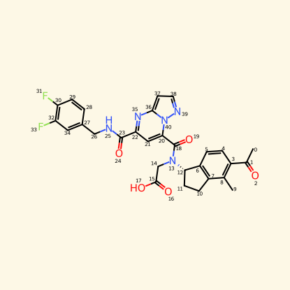 CC(=O)c1ccc2c(c1C)CC[C@@H]2N(CC(=O)O)C(=O)c1cc(C(=O)NCc2ccc(F)c(F)c2)nc2ccnn12